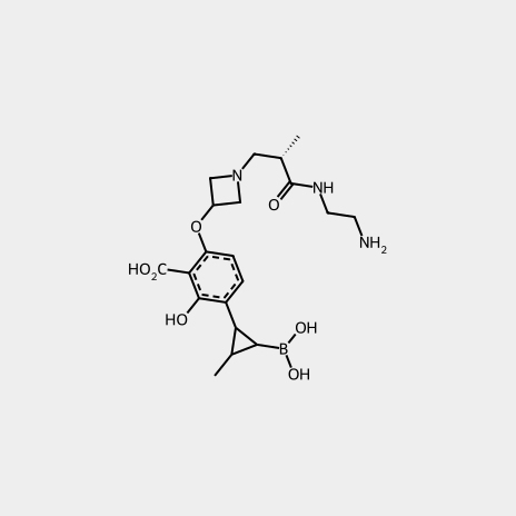 CC1C(B(O)O)C1c1ccc(OC2CN(C[C@H](C)C(=O)NCCN)C2)c(C(=O)O)c1O